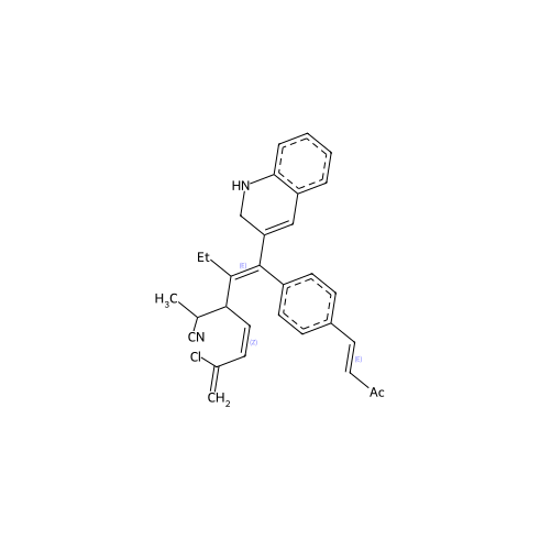 C=C(Cl)/C=C\C(/C(CC)=C(/C1=Cc2ccccc2NC1)c1ccc(/C=C/C(C)=O)cc1)C(C)C#N